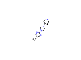 Bc1cnc(N2CCN(c3ccncc3)CC2)nc1